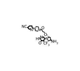 N#Cc1ccc(N2CCN(C(=O)CCOC[C@@H]3C[C@H](N)CN3c3cn[nH]c(=O)c3C(F)(F)F)CC2)nc1